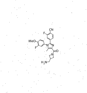 COc1ccc(-n2c(-c3ccc(C#N)c(F)c3)nc(C(=O)N3CC(CN)C3)c2C)cc1F